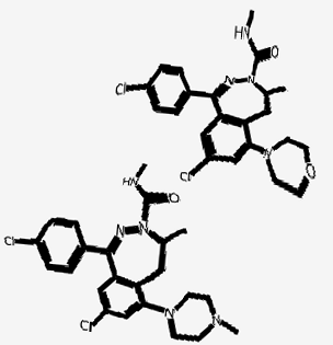 CNC(=O)N1N=C(c2ccc(Cl)cc2)c2cc(Cl)cc(N3CCN(C)CC3)c2CC1C.CNC(=O)N1N=C(c2ccc(Cl)cc2)c2cc(Cl)cc(N3CCOCC3)c2CC1C